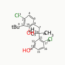 CC(C)(C)c1c(Cl)ccc(CC(C)(C)c2cc(O)ccc2Cl)c1O